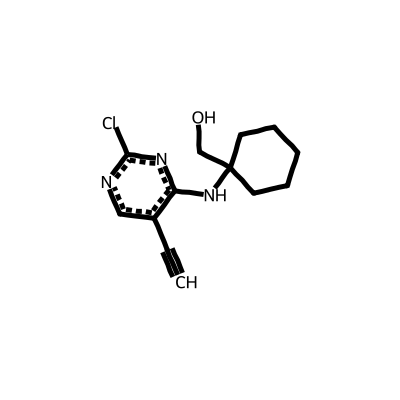 C#Cc1cnc(Cl)nc1NC1(CO)CCCCC1